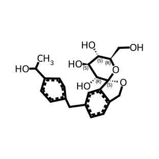 CC(O)c1ccc(Cc2ccc3c(c2)[C@]2(OC3)O[C@H](CO)[C@@H](O)[C@H](O)[C@H]2O)cc1